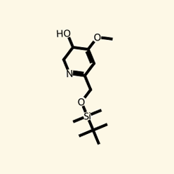 COC1=CC(CO[Si](C)(C)C(C)(C)C)=NCC1O